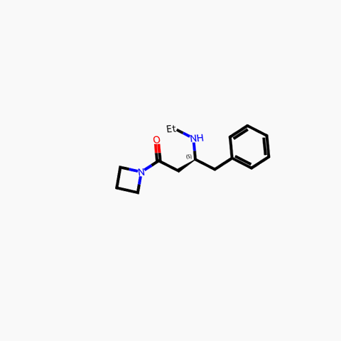 CCN[C@H](CC(=O)N1CCC1)Cc1ccccc1